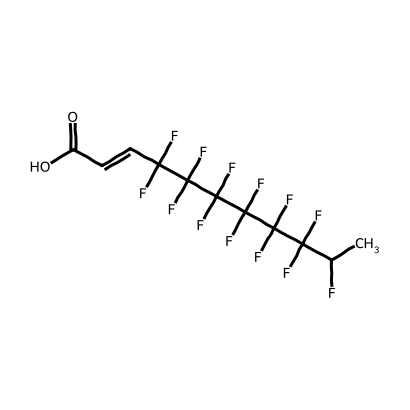 CC(F)C(F)(F)C(F)(F)C(F)(F)C(F)(F)C(F)(F)C(F)(F)C=CC(=O)O